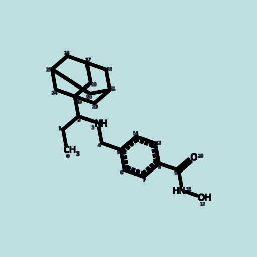 CCC(NCc1ccc(C(=O)NO)cc1)C12CC3CC(CC(C3)C1)C2